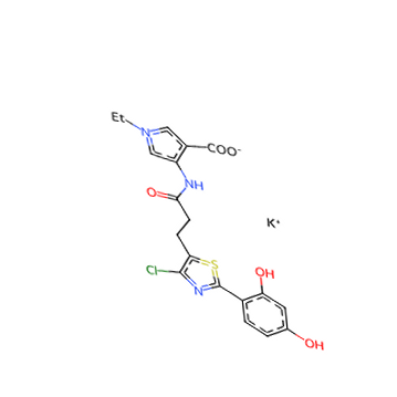 CCn1cc(NC(=O)CCc2sc(-c3ccc(O)cc3O)nc2Cl)c(C(=O)[O-])c1.[K+]